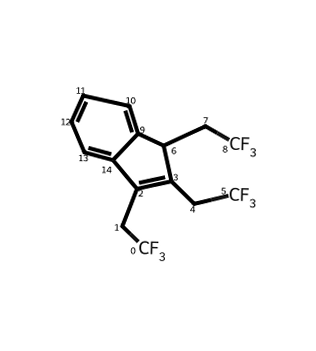 FC(F)(F)CC1=C(CC(F)(F)F)C(CC(F)(F)F)c2ccccc21